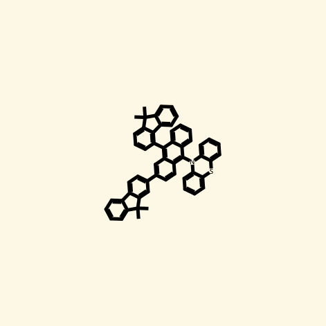 CC1(C)c2ccccc2-c2ccc(-c3ccc4c(N5c6ccccc6Sc6ccccc65)c5ccccc5c(-c5cccc6c5-c5ccccc5C6(C)C)c4c3)cc21